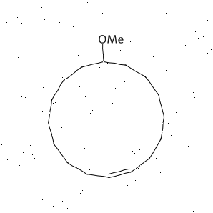 COC1CCCCCCC=CCCCCCCC1